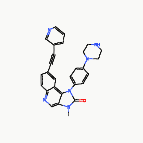 Cn1c(=O)n(-c2ccc(N3CCNCC3)cc2)c2c3cc(C#Cc4cccnc4)ccc3ncc21